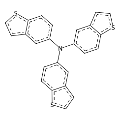 c1cc2cc(N(c3ccc4sccc4c3)c3ccc4sccc4c3)ccc2s1